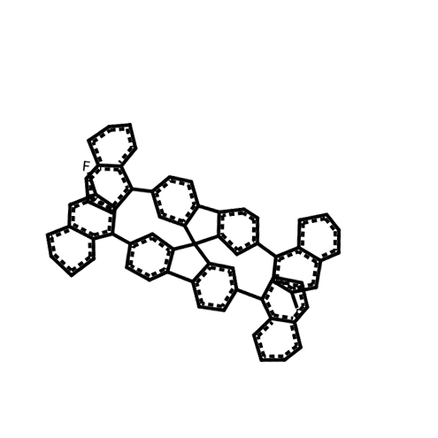 Fc1cc(-c2ccc3c(c2)C2(c4cc(-c5cccc6ccccc56)ccc4-3)c3cc(-c4cccc5ccccc45)ccc3-c3ccc(-c4cc(F)cc5ccccc45)cc32)c2ccccc2c1